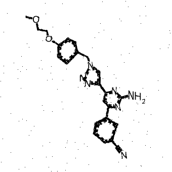 COCCOc1ccc(Cn2cc(-c3cc(-c4cccc(C#N)c4)nc(N)n3)nn2)cc1